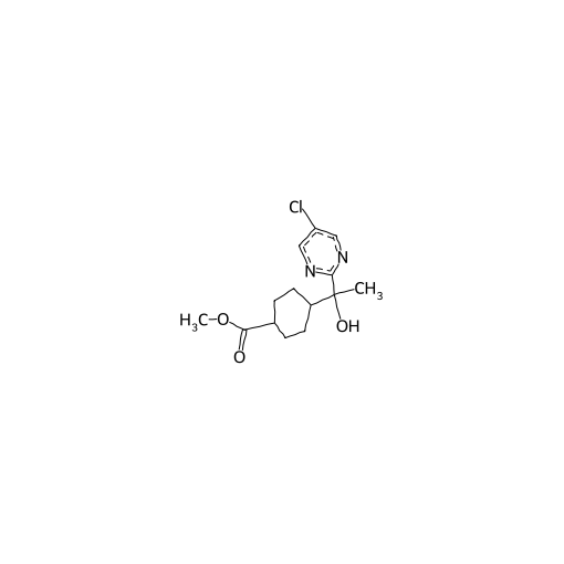 COC(=O)C1CCC(C(C)(O)c2ncc(Cl)cn2)CC1